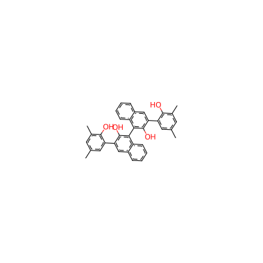 Cc1cc(C)c(O)c(-c2cc3ccccc3c(-c3c(O)c(-c4cc(C)cc(C)c4O)cc4ccccc34)c2O)c1